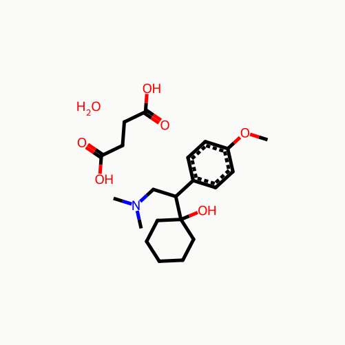 COc1ccc(C(CN(C)C)C2(O)CCCCC2)cc1.O.O=C(O)CCC(=O)O